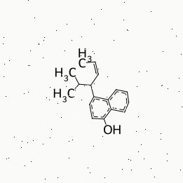 C/C=C\C(c1ccc(O)c2ccccc12)C(C)C